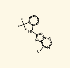 FC(F)(F)c1ccccc1Nc1nc2c(Cl)ncnc2s1